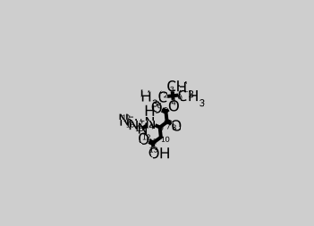 CC(C)(C)OC(=O)C(=O)C(CC(=O)O)NN=[N+]=[N-]